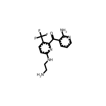 NCCNc1ccc(C(F)(F)F)c(C(=O)c2cccnc2N)n1